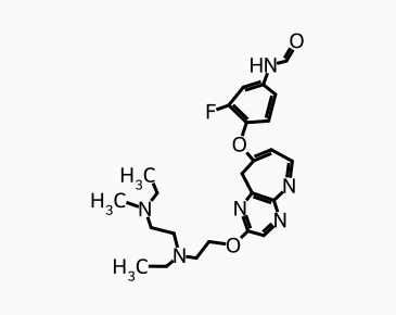 CCN(C)CCN(CC)CCOc1cnc2c(n1)CC(Oc1ccc(NC=O)cc1F)=CC=N2